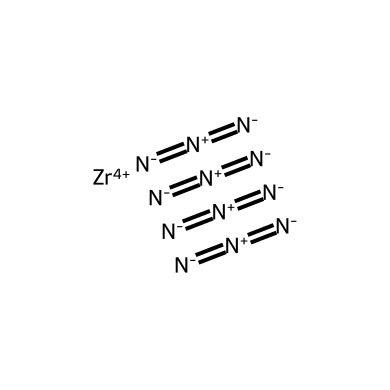 [N-]=[N+]=[N-].[N-]=[N+]=[N-].[N-]=[N+]=[N-].[N-]=[N+]=[N-].[Zr+4]